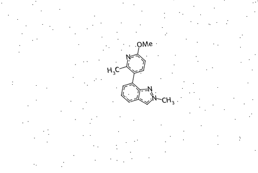 COc1ccc(-c2cccc3cn(C)nc23)c(C)n1